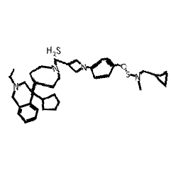 CCN1Cc2ccccc2C(C2CCCC2)(C2CCN(CC3CN(c4ccc(OSN(C)CC5CC5)cc4)C3)CC2)C1.S